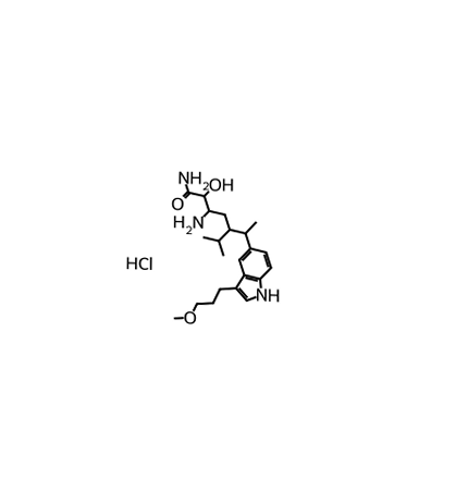 COCCCc1c[nH]c2ccc(C(C)C(CC(N)C(O)C(N)=O)C(C)C)cc12.Cl